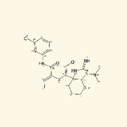 C/C=C(\S/C(=C/Cl)C1(NC=N)CCCOC1SN(C)C)C(=O)Nc1cccc(Cl)n1